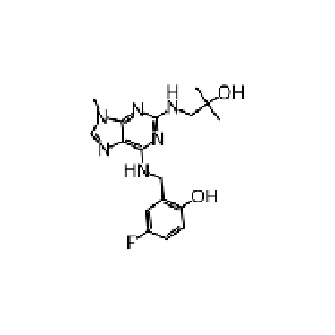 Cn1cnc2c(NCc3cc(F)ccc3O)nc(NCC(C)(C)O)nc21